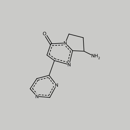 NC1CCn2c1nc(-c1ccncn1)cc2=O